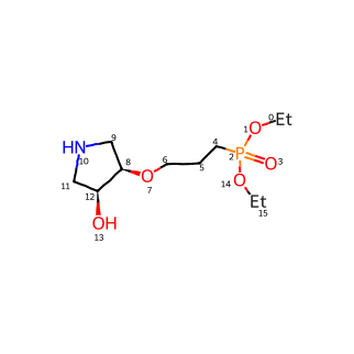 CCOP(=O)(CCCO[C@@H]1CNC[C@@H]1O)OCC